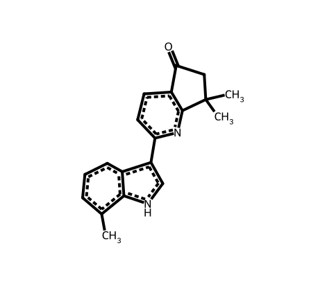 Cc1cccc2c(-c3ccc4c(n3)C(C)(C)CC4=O)c[nH]c12